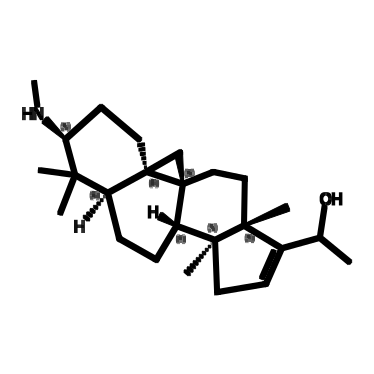 CN[C@H]1CC[C@]23C[C@]24CC[C@]2(C)C(C(C)O)=CC[C@@]2(C)[C@@H]4CC[C@H]3C1(C)C